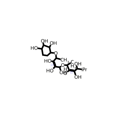 CC(OC1CCC(O)C(O)C1O)/C(O)=C(/O)C(O)OC(C)/C(O)=C(/O)C(O)C(C)C